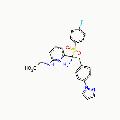 NC(Cc1ccc(-n2cccn2)cc1)(c1cccc(NCC(=O)O)n1)S(=O)(=O)c1ccc(F)cc1